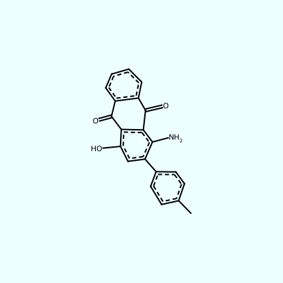 Cc1ccc(-c2cc(O)c3c(c2N)C(=O)c2ccccc2C3=O)cc1